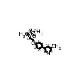 Cc1cncc(-c2ccc(OCCN(C)S(C)(=O)=O)cc2)c1